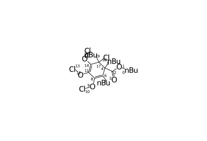 CCCCOC(=O)C1(CCCC)C(CCCC)=C(OCl)C(OCl)=C(OCl)C1(Cl)CCCC